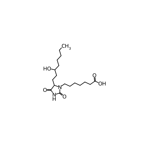 CCCCCC(O)CCC1C(=O)NC(=O)N1CCCCCCC(=O)O